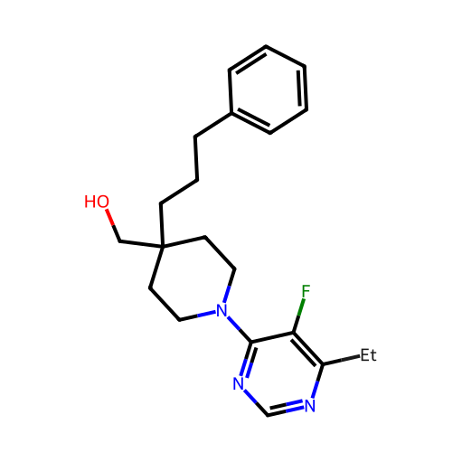 CCc1ncnc(N2CCC(CO)(CCCc3ccccc3)CC2)c1F